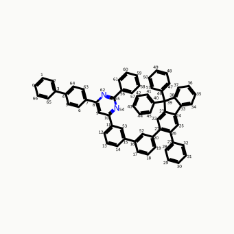 c1ccc(-c2ccc(-c3cc(-c4cccc(-c5cccc(-c6cc7c(cc6-c6ccccc6)-c6ccccc6C7(c6ccccc6)c6ccccc6)c5)c4)nc(-c4ccccc4)n3)cc2)cc1